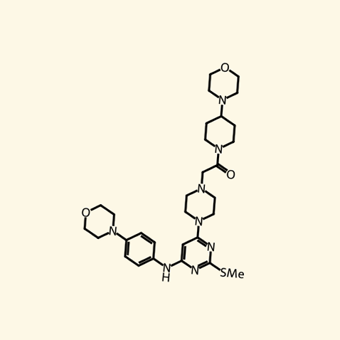 CSc1nc(Nc2ccc(N3CCOCC3)cc2)cc(N2CCN(CC(=O)N3CCC(N4CCOCC4)CC3)CC2)n1